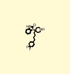 O=c1[nH]c2ccccc2n1C1(CCCCC2=CCC(F)(F)C=C2)CCNCC1